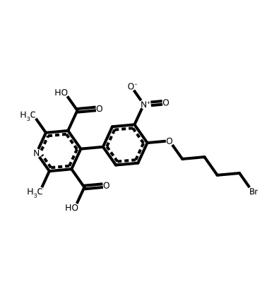 Cc1nc(C)c(C(=O)O)c(-c2ccc(OCCCCBr)c([N+](=O)[O-])c2)c1C(=O)O